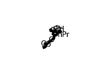 C=CC(=O)OCCOCc1cc(C(C)(C)CCC)c(O)c(C(C)(C)CCC)c1